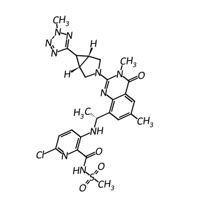 Cc1cc([C@@H](C)Nc2ccc(Cl)nc2C(=O)NS(C)(=O)=O)c2nc(N3C[C@@H]4C(c5nnn(C)n5)[C@@H]4C3)n(C)c(=O)c2c1